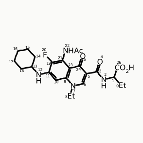 CCC(NC(=O)c1cn(CC)c2cc(NC3CCCCC3)c(F)c(NC(C)=O)c2c1=O)C(=O)O